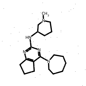 CN1CCCC(Nc2nc3c(c(N4CCCCCC4)n2)CCC3)C1